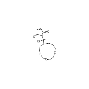 CCC(C)(C1CCCCCCCCCCC1)N1C(=O)C=CC1=O